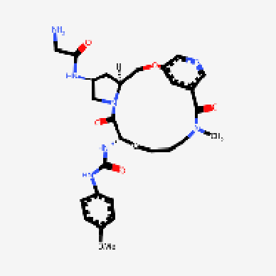 COc1ccc(NC(=O)N[C@H]2CCCCN(C)C(=O)c3cncc(c3)OC[C@@H]3C[C@H](NC(=O)CN)CN3C2=O)cc1